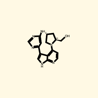 Nc1cc(-c2c[nH]c3nccc(N4CCC[C@H]4CO)c23)ncn1